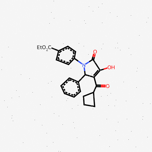 CCOC(=O)c1ccc(N2C(=O)C(O)=C(C(=O)C3CCC3)C2c2ccccc2)cc1